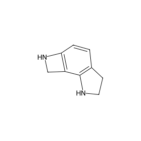 c1cc2c(c3c1CCN3)CN2